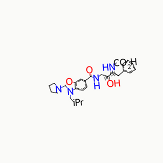 CC(C)CN1c2ccc(C(=O)NC[C@@H](O)[C@H](Cc3ccccc3)NC(=O)O)cc2OC1N1CCCC1